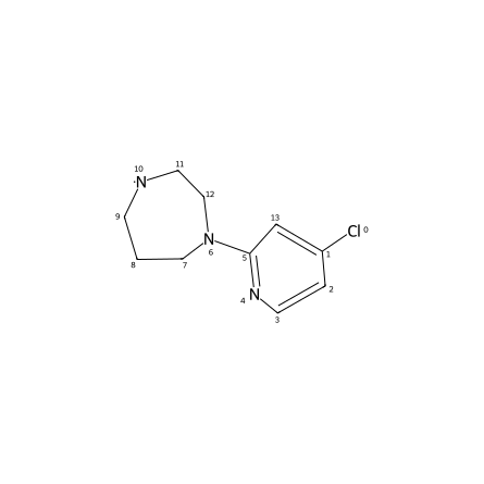 Clc1ccnc(N2CCC[N]CC2)c1